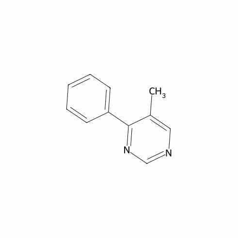 Cc1cncnc1-c1ccccc1